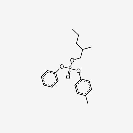 CCCC(C)COP(=O)(Oc1ccccc1)Oc1ccc(C)cc1